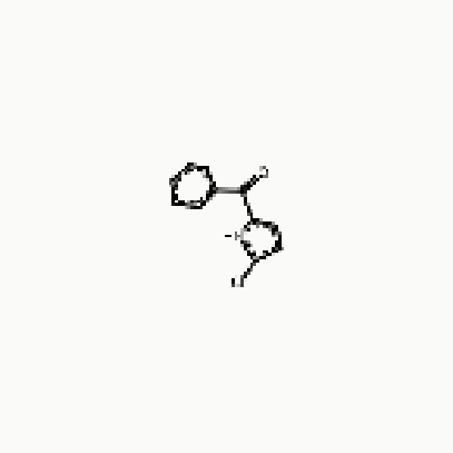 O=C(c1ccccc1)c1ccc(Cl)[nH]1